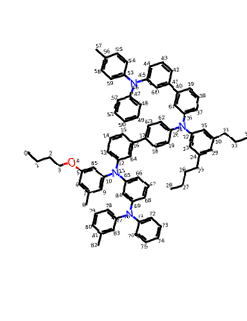 CCCCOc1cc(C)cc(N(c2cccc(-c3ccc(N(c4cc(CCCC)cc(CCCC)c4)c4cccc(-c5cccc(N(c6ccccc6)c6ccc(C)cc6)c5)c4)cc3)c2)c2cccc(N(c3ccccc3)c3cccc(C)c3)c2)c1